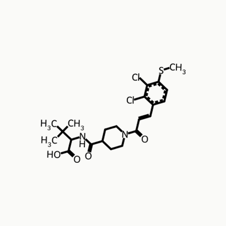 CSc1ccc(C=CC(=O)N2CCC(C(=O)NC(C(=O)O)C(C)(C)C)CC2)c(Cl)c1Cl